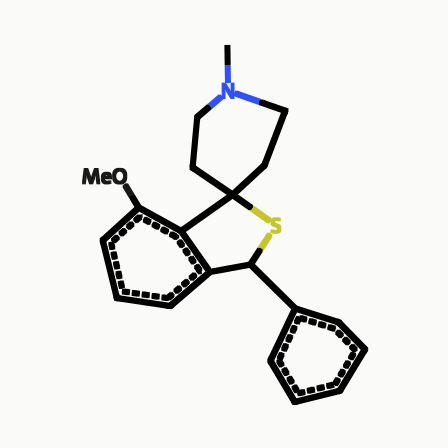 COc1cccc2c1C1(CCN(C)CC1)SC2c1ccccc1